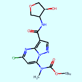 CN(C(=O)OC(C)(C)C)c1cc(Cl)nc2c(C(=O)NC3COC[C@H]3O)cnn12